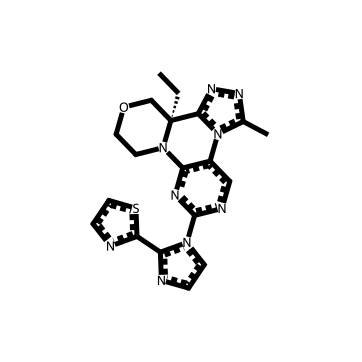 CC[C@@]12COCCN1c1nc(-n3ccnc3-c3nccs3)ncc1-n1c(C)nnc12